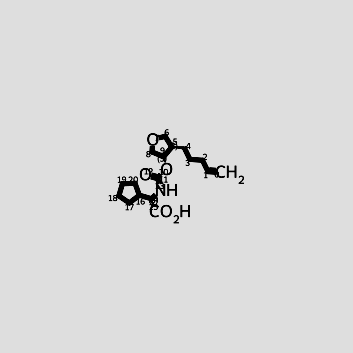 C=CCCC[C@@H]1COC[C@H]1OC(=O)N[C@H](C(=O)O)C1CCCC1